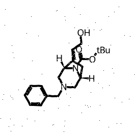 CC(C)(C)OC(=O)N1[C@@H]2CC(=CCO)[C@H]1CN(Cc1ccccc1)C2